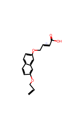 C=CCOc1ccc2ccc(OC/C=C/C(=O)O)cc2c1